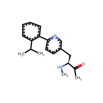 CN[C@@H](Cc1ccc(-c2ccccc2C(C)C)nc1)C(C)=O